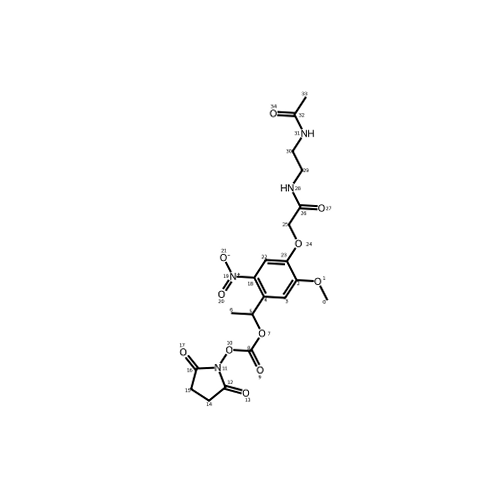 COc1cc(C(C)OC(=O)ON2C(=O)CCC2=O)c([N+](=O)[O-])cc1OCC(=O)NCCNC(C)=O